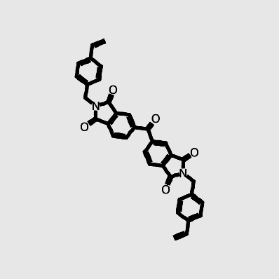 C=Cc1ccc(CN2C(=O)c3ccc(C(=O)c4ccc5c(c4)C(=O)N(Cc4ccc(C=C)cc4)C5=O)cc3C2=O)cc1